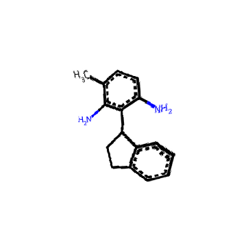 Cc1ccc(N)c(C2CCc3ccccc32)c1N